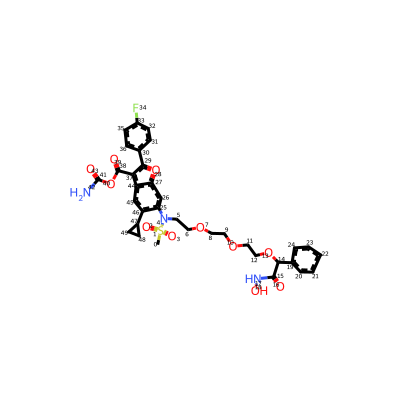 CS(=O)(=O)N(CCOCCOCCOC(C(=O)NO)c1ccccc1)c1cc2oc(-c3ccc(F)cc3)c(C(=O)OC(N)=O)c2cc1C1CC1